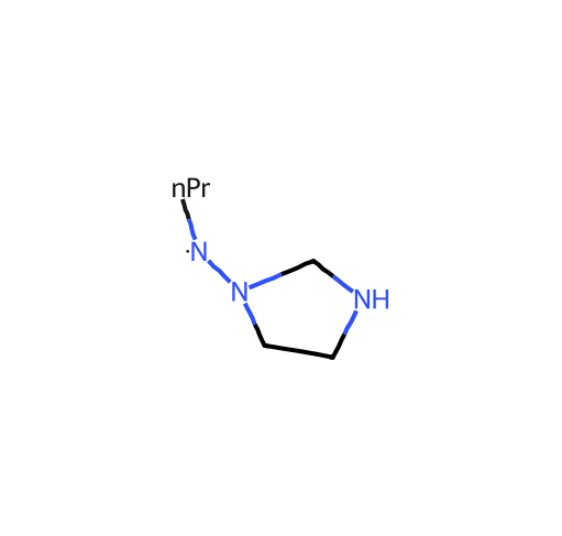 CCC[N]N1CCNC1